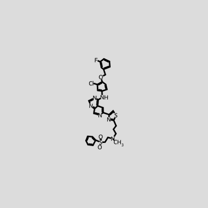 CN(CCCc1nc(-c2cc3c(Nc4ccc(OCc5cccc(F)c5)c(Cl)c4)ncnc3cn2)cs1)CCS(=O)(=O)c1ccccc1